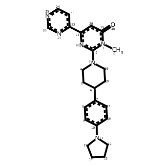 Cn1c(N2CCC(c3ccc(N4CCCC4)cc3)CC2)nc(-c2ccncn2)cc1=O